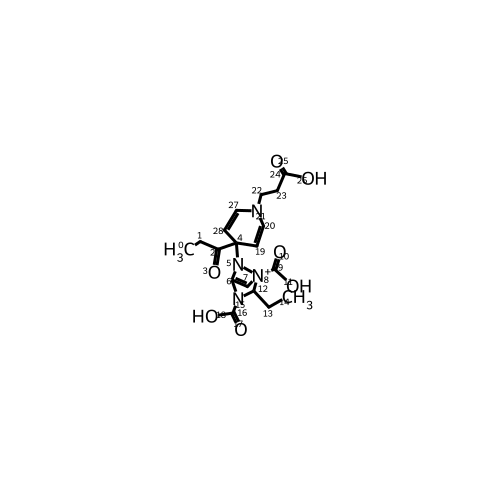 CCC(=O)C1(N2C3=C[N+]2(C(=O)O)C(CC)N3C(=O)O)C=CN(CCC(=O)O)C=C1